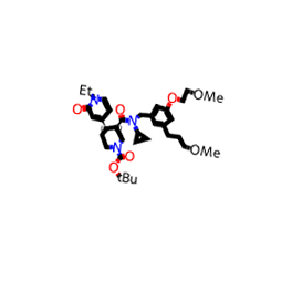 CCn1ccc([C@H]2CCN(C(=O)OC(C)(C)C)C[C@@H]2C(=O)N(Cc2cc(CCCOC)cc(OCCOC)c2)C2CC2)cc1=O